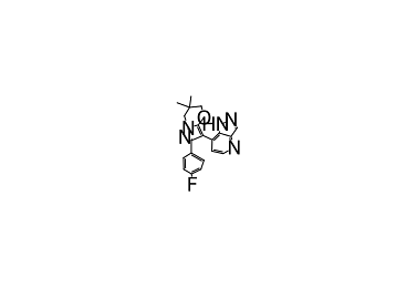 CC1(C)COc2c(-c3ccnc4cn[nH]c34)c(-c3ccc(F)cc3)nn2C1